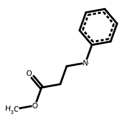 COC(=O)CC[N]c1ccccc1